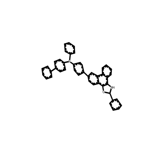 c1ccc(-c2ccc(N(c3ccccc3)c3ccc(-c4ccc5c6c(c7ccccc7c5c4)NC(c4ccccc4)O6)cc3)cc2)cc1